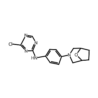 Clc1ncnc(Nc2ccc(N3CC4CCC(C3)O4)cc2)n1